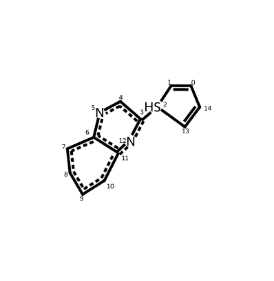 C1=C[SH](c2cnc3ccccc3n2)C=C1